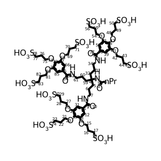 CCCC(=O)NC(CCCNC(=O)c1cc(OCCCS(=O)(=O)O)c(OCCCS(=O)(=O)O)c(OCCCS(=O)(=O)O)c1)(CCCNC(=O)c1cc(OCCCS(=O)(=O)O)c(OCCCS(=O)(=O)O)c(OCCCS(=O)(=O)O)c1)CCCNC(=O)c1cc(OCCCS(=O)(=O)O)c(OCCCS(=O)(=O)O)c(OCCCS(=O)(=O)O)c1